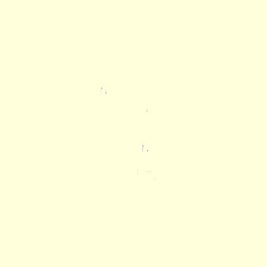 C=N/C=C(\C)C#N